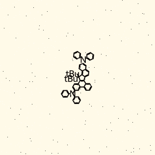 CC(C)(C)C1(C(C)(C)C)c2c(ccc3cc(N(c4ccccc4)c4ccccc4)ccc23)-c2c1c1ccc(N(c3ccccc3)c3ccccc3)cc1c1ccccc21